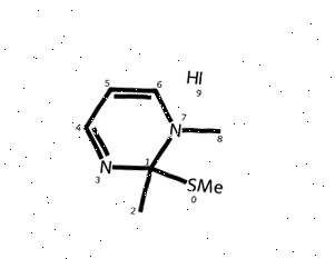 CSC1(C)N=CC=CN1C.I